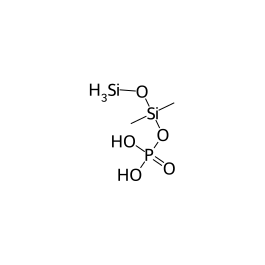 C[Si](C)(O[SiH3])OP(=O)(O)O